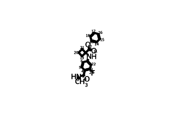 CNC(=O)c1ccc(NC2(C(=O)Oc3ccccc3)CCC2)cc1F